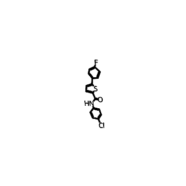 O=C(Nc1ccc(Cl)cc1)c1ccc(-c2ccc(F)cc2)s1